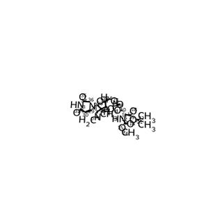 C=NC[C@]1(C)[C@@H]2O[P@@](=O)(OC[C@@H](NC(=O)OC)C(=O)OC(C)C)OC[C@H]2O[C@H]1N1C=CC(=O)NC(=O)C1